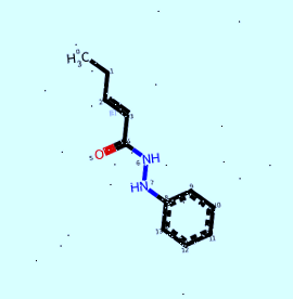 CC/C=C/C(=O)NNc1ccccc1